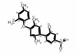 Cc1ccc(Oc2cc(C)c(-c3ccc([N+](=O)[O-])cc3Cl)cc2C)c(C)c1